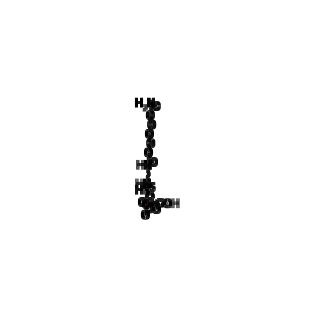 NC(=O)CCOCCOCCOCCOCCOCCC(=O)NCCCCCNC(=S)Nc1ccc(-c2c3ccc(=O)cc-3oc3cc(O)ccc23)c(C(=O)O)c1